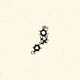 CC1(CSc2ccc(Cl)cc2)COC2(CCC(C(C)(C)C)CC2)OO1